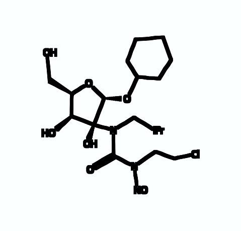 CC(C)CN(C(=O)N(CCCl)N=O)[C@@]1(O)[C@@H](OC2CCCCC2)O[C@H](CO)[C@@H]1O